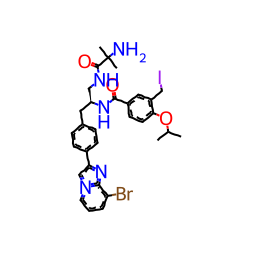 CC(C)Oc1ccc(C(=O)N[C@H](CNC(=O)C(C)(C)N)Cc2ccc(-c3cn4cccc(Br)c4n3)cc2)cc1CI